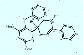 COc1nc(OC)c(Cc2ccccc2)c(C2(Br)CC=C(c3ccccc3)C(F)C2)n1